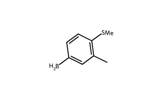 Bc1ccc(SC)c(C)c1